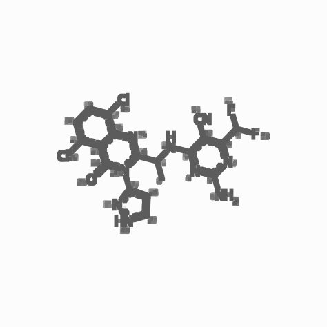 CC(Nc1nc(N)nc(C(F)F)c1C#N)c1nc2c(Cl)ccc(Cl)c2c(=O)n1-c1cc[nH]n1